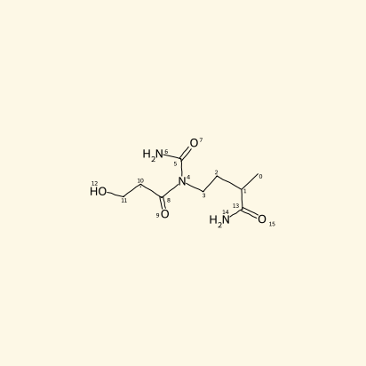 CC(CCN(C(N)=O)C(=O)[CH]CO)C(N)=O